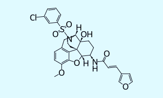 COc1ccc2c3c1O[C@H]1[C@H](NC(=O)/C=C/c4ccoc4)CC[C@@]4(O)[C@@H](C2)N(S(=O)(=O)c2cccc(Cl)c2)CC[C@]314